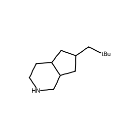 CC(C)(C)CC1CC2CCNCC2C1